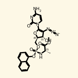 COC(=O)[C@H](C)NP(=O)(OC[C@H]1OC(n2ccc(N)nc2=O)=C(N=[N+]=[N-])[C@@H]1O)Oc1cccc2ccccc12